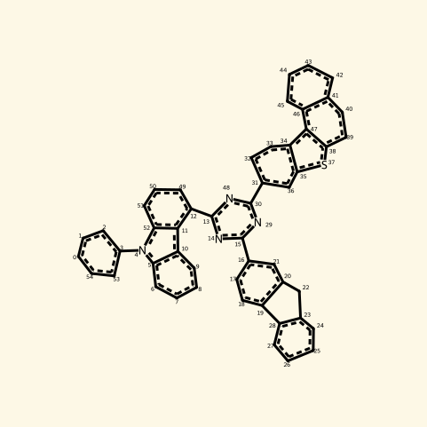 c1ccc(-n2c3ccccc3c3c(-c4nc(-c5ccc6c(c5)Cc5ccccc5-6)nc(-c5ccc6c(c5)sc5ccc7ccccc7c56)n4)cccc32)cc1